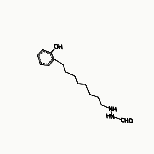 O=CNNCCCCCCCCc1ccccc1O